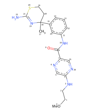 COCCNc1cnc(C(=O)Nc2cccc(C3(C)CCSC(N)=N3)c2)cn1